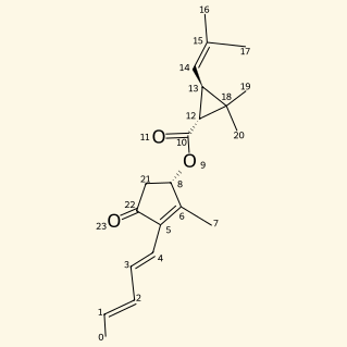 C/C=C/C=C/C1=C(C)[C@@H](OC(=O)[C@@H]2[C@@H](C=C(C)C)C2(C)C)CC1=O